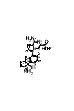 CCNC(=O)c1cn2c(-c3cc(C(O)(C(N)F)C(F)F)ccc3C)cnc2c(N)n1